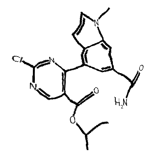 CC(C)OC(=O)c1cnc(Cl)nc1-c1cc(C(N)=O)cc2c1ccn2C